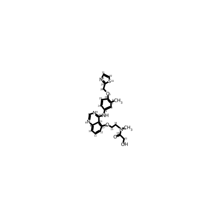 Cc1cc(Nc2ncnc3cccc(OCCN(C)C(=O)CO)c23)ccc1OCc1nccs1